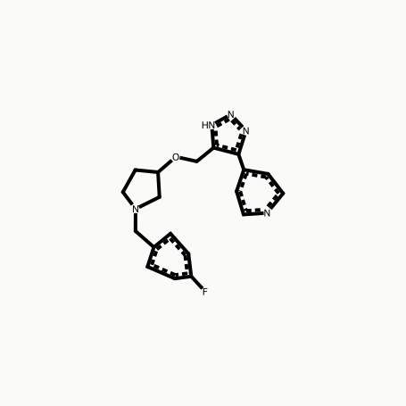 Fc1ccc(CN2CCC(OCc3[nH]nnc3-c3ccncc3)C2)cc1